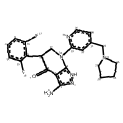 Nc1n[nH]c2c1C(=O)C(c1c(F)cccc1F)CN2c1cc(CN2CCCC2)ccn1